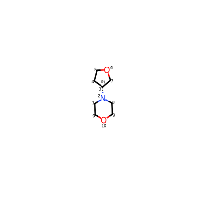 C1CN([C@@H]2CCOC2)CCO1